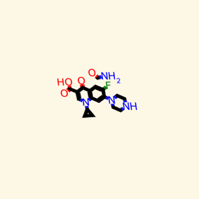 NC=O.O=C(O)c1cn(C2CC2)c2cc(N3CCNCC3)c(F)cc2c1=O